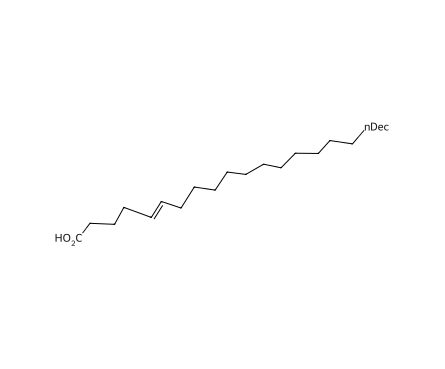 CCCCCCCCCCCCCCCCCCCCCC=CCCCC(=O)O